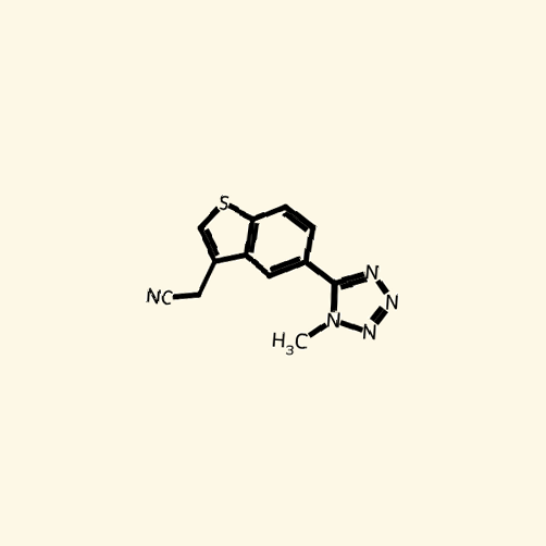 Cn1nnnc1-c1ccc2scc(CC#N)c2c1